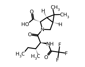 CC[C@@H](C)[C@H](NC(=O)C(F)(F)F)C(=O)N1C[C@H]2[C@@H]([C@H]1C(=O)O)C2(C)C